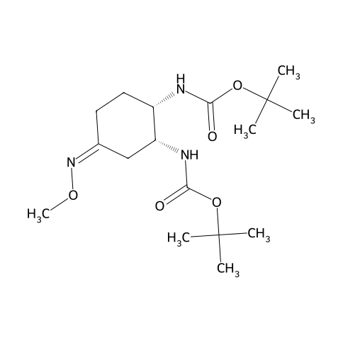 CO/N=C1/CC[C@H](NC(=O)OC(C)(C)C)[C@H](NC(=O)OC(C)(C)C)C1